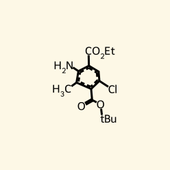 CCOC(=O)c1cc(Cl)c(C(=O)OC(C)(C)C)c(C)c1N